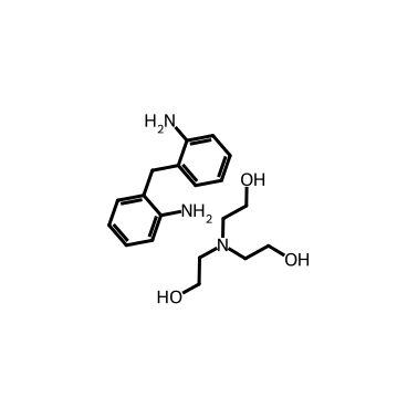 Nc1ccccc1Cc1ccccc1N.OCCN(CCO)CCO